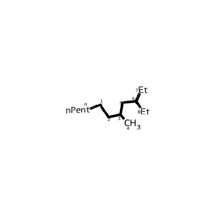 CCCCCCCC(C)CC(CC)CC